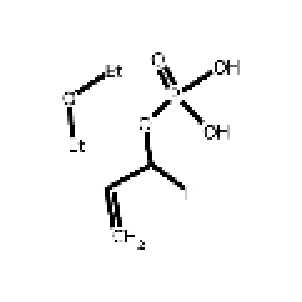 C=CC(F)OP(=O)(O)O.CCOCC